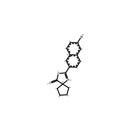 O=C1OC(c2ccc3cc(Br)ccc3c2)=NC12CCCC2